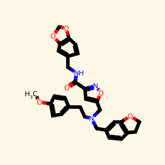 COc1ccc(CCN(Cc2ccc3c(c2)OCC3)Cc2cc(C(=O)NCc3ccc4c(c3)OCO4)no2)cc1